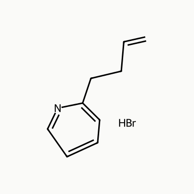 Br.C=CCCc1ccccn1